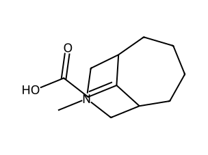 CN1CC2CCCCC(C1)C2=CC(=O)O